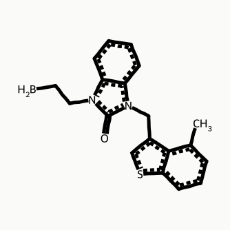 BCCn1c(=O)n(Cc2csc3cccc(C)c23)c2ccccc21